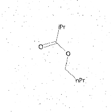 [CH2]CCCOC(=O)C(C)C